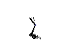 CCCCCCCC/C=C\CCCCCCCCOP(=O)(O)OC1CCC[N+](C)(C)CC1